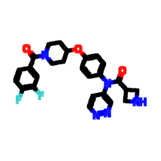 O=C(c1ccc(F)c(F)c1)N1CCC(Oc2ccc(N(C(=O)C3CNC3)c3ccnnc3)cc2)CC1